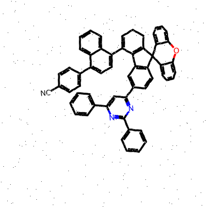 N#Cc1ccc(-c2ccc(C3=CCCC4=C3c3cc(-c5cc(-c6ccccc6)nc(-c6ccccc6)n5)ccc3C43c4ccccc4Oc4ccccc43)c3ccccc23)cc1